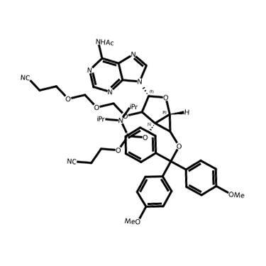 COc1ccc(C(OC2[C@H]3O[C@@H](n4cnc5c(NC(C)=O)ncnc54)C(OCOCOCCC#N)[C@]23OP(OCCC#N)N(C(C)C)C(C)C)(c2ccccc2)c2ccc(OC)cc2)cc1